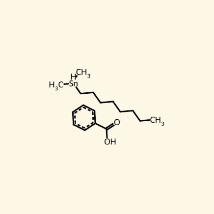 CCCCCCC[CH2][SnH]([CH3])[CH3].O=C(O)c1ccccc1